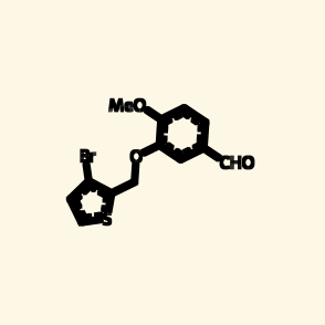 COc1ccc(C=O)cc1OCc1sccc1Br